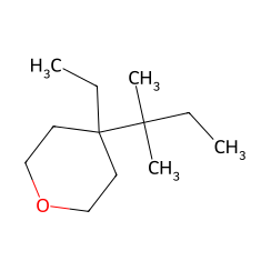 CCC(C)(C)C1(CC)CCOCC1